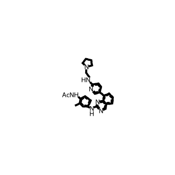 CC(=O)Nc1ccc(Nc2ncc3cccc(-c4ccc(NCCN5CCCC5)nc4)c3n2)cc1C